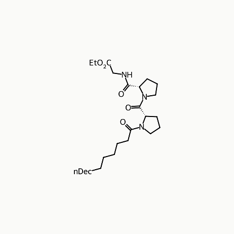 CCCCCCCCCCCCCCCC(=O)N1CCC[C@H]1C(=O)N1CCC[C@H]1C(=O)NCC(=O)OCC